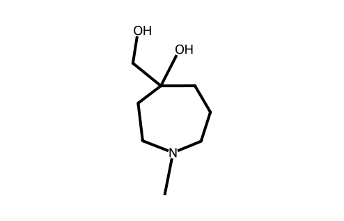 CN1CCCC(O)(CO)CC1